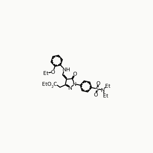 CCOC(=O)CC1=NN(c2ccc(S(=O)(=O)N(CC)CC)cc2)C(=O)C1=CNc1ccccc1OCC